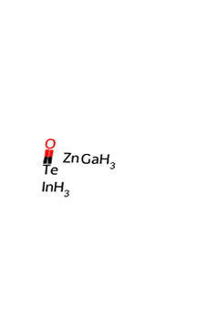 O=[Te].[GaH3].[InH3].[Zn]